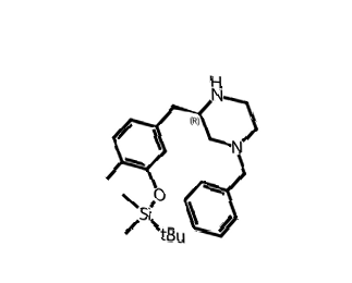 Cc1ccc(C[C@@H]2CN(Cc3ccccc3)CCN2)cc1O[Si](C)(C)C(C)(C)C